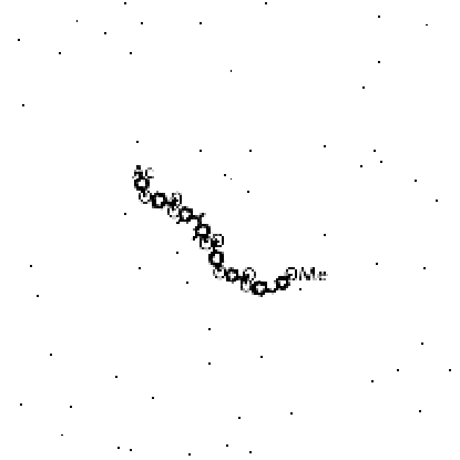 COc1ccc(Cc2ccc(OC(=O)c3ccc(Oc4ccc(C(=O)Oc5ccc(C(C)c6ccc(OC(=O)c7ccc(Oc8ccc(C(C)=O)cc8)cc7)c(C)c6)cc5C)cc4)cc3)cc2)cc1